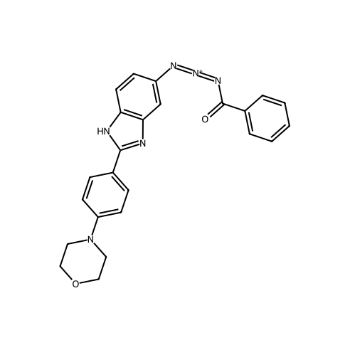 O=C(N=[N+]=Nc1ccc2[nH]c(-c3ccc(N4CCOCC4)cc3)nc2c1)c1ccccc1